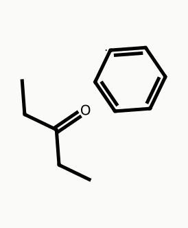 CCC(=O)CC.[c]1ccccc1